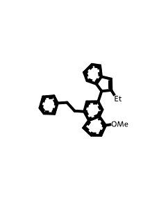 CCC1=Cc2ccccc2C1c1cc(CCc2ccccc2)c2cccc(OC)c2c1